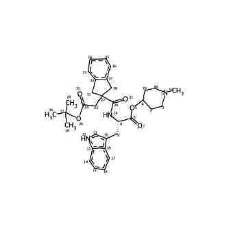 CN1CCC(OC(=O)[C@H](Cc2c[nH]c3ccccc23)NC(=O)C2(CC(=O)OC(C)(C)C)Cc3ccccc3C2)CC1